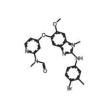 COc1cc2c(cc1Oc1ccnc(N(C)C=O)c1)nc(Nc1ccc(Br)c(C)c1)n2C